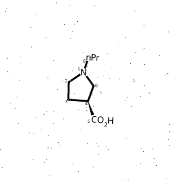 CCCN1CC[C@H](C(=O)O)C1